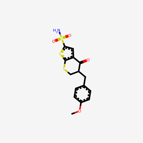 COc1ccc(CC2CSc3sc(S(N)(=O)=O)cc3C2=O)cc1